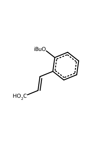 CC(C)COc1ccccc1/C=C/C(=O)O